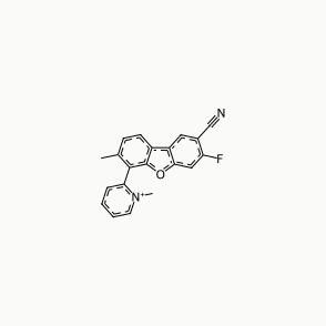 Cc1ccc2c(oc3cc(F)c(C#N)cc32)c1-c1cccc[n+]1C